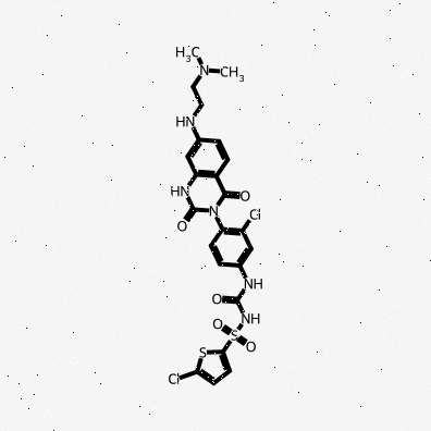 CN(C)CCNc1ccc2c(=O)n(-c3ccc(NC(=O)NS(=O)(=O)c4ccc(Cl)s4)cc3Cl)c(=O)[nH]c2c1